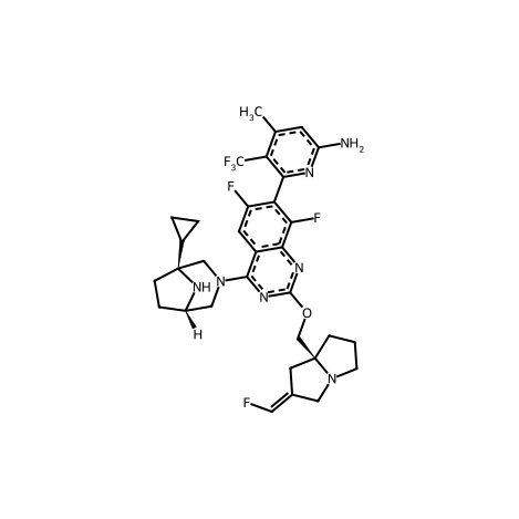 Cc1cc(N)nc(-c2c(F)cc3c(N4C[C@@H]5CC[C@](C6CC6)(C4)N5)nc(OC[C@@]45CCCN4C/C(=C/F)C5)nc3c2F)c1C(F)(F)F